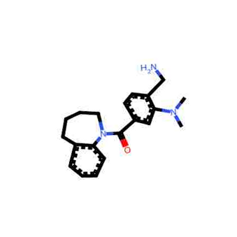 CN(C)c1cc(C(=O)N2CCCCc3ccccc32)ccc1CN